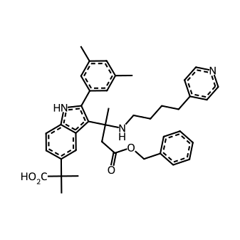 Cc1cc(C)cc(-c2[nH]c3ccc(C(C)(C)C(=O)O)cc3c2C(C)(CC(=O)OCc2ccccc2)NCCCCc2ccncc2)c1